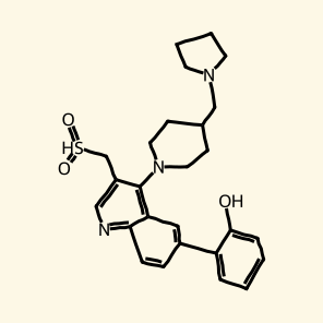 O=[SH](=O)Cc1cnc2ccc(-c3ccccc3O)cc2c1N1CCC(CN2CCCC2)CC1